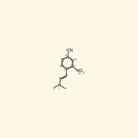 CN(C)C=Cc1ccc(C#N)cc1[N+](=O)[O-]